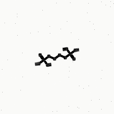 O=P(O)(O)OOOOP(=O)(O)O